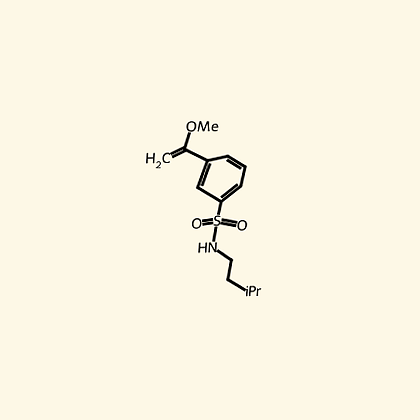 C=C(OC)c1cccc(S(=O)(=O)NCCC(C)C)c1